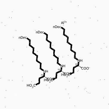 CCCCCCCCCCCCCCCCCCN[C@@H](CCC(=O)O)C(=O)[O-].CCCCCCCCCCCCCCCCCCN[C@@H](CCC(=O)O)C(=O)[O-].CCCCCCCCCCCCCCCCCCN[C@@H](CCC(=O)O)C(=O)[O-].[Al+3]